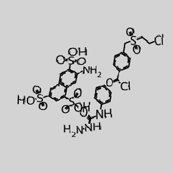 NNC(=O)Nc1ccccc1.Nc1cc2c(S(=O)(=O)O)cc(S(=O)(=O)O)cc2cc1S(=O)(=O)O.O=C(Cl)c1ccc(CS(=O)(=O)CCCl)cc1